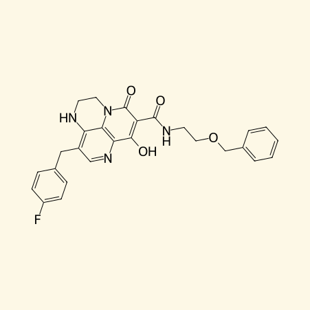 O=C(NCCOCc1ccccc1)c1c(O)c2ncc(Cc3ccc(F)cc3)c3c2n(c1=O)CCN3